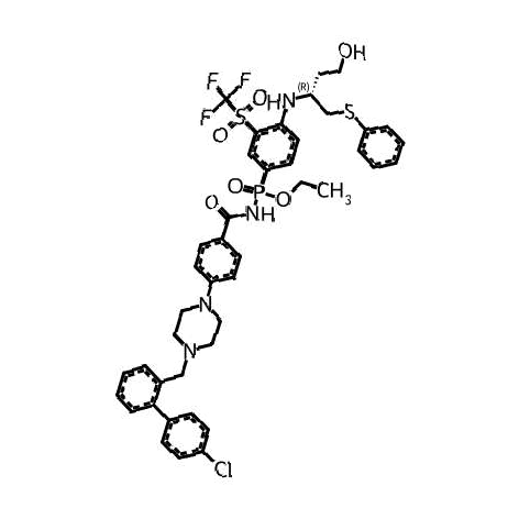 CCOP(=O)(NC(=O)c1ccc(N2CCN(Cc3ccccc3-c3ccc(Cl)cc3)CC2)cc1)c1ccc(N[C@H](CCO)CSc2ccccc2)c(S(=O)(=O)C(F)(F)F)c1